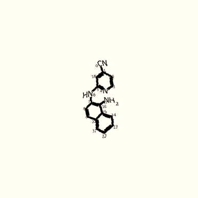 N#Cc1ccnc(Nc2ccc3ccccc3c2N)c1